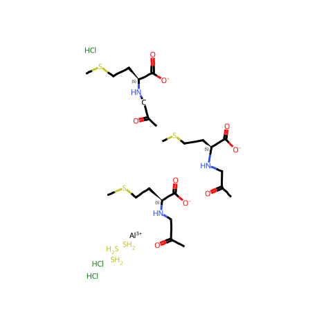 CSCC[C@H](NCC(C)=O)C(=O)[O-].CSCC[C@H](NCC(C)=O)C(=O)[O-].CSCC[C@H](NCC(C)=O)C(=O)[O-].Cl.Cl.Cl.S.S.S.[Al+3]